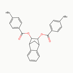 CCCCc1ccc(C(=O)OC2C3CC(c4ccccc43)C2OC(=O)c2ccc(CCCC)cc2)cc1